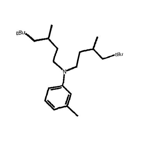 Cc1cccc(N(CCC(C)CC(C)(C)C)CCC(C)CC(C)(C)C)c1